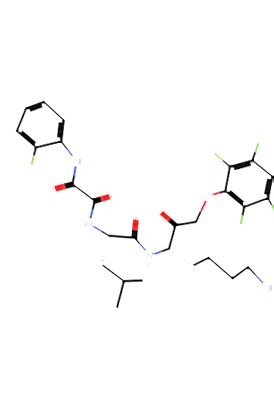 CC(C)C[C@H](NC(=O)C(=O)Nc1ccccc1F)C(=O)N[C@@H](CCCCN)C(=O)COc1c(F)c(F)cc(F)c1F